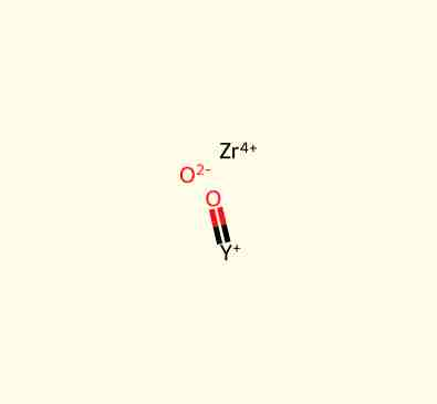 [O-2].[O]=[Y+].[Zr+4]